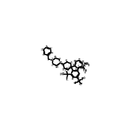 NC(=O)Cc1cc(C(F)(F)F)cc(C(F)(F)F)c1C1(c2ccccc2)CCC(C2CCN(Cc3ccccc3)CC2)CC1